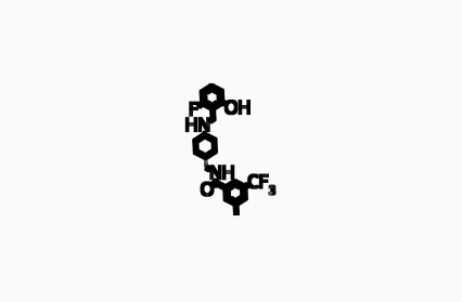 Cc1cc(C(=O)NC[C@H]2CC[C@@H](NCc3c(O)cccc3F)CC2)cc(C(F)(F)F)c1